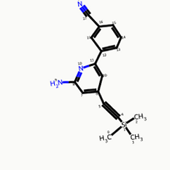 C[Si](C)(C)C#Cc1cc(N)nc(-c2cccc(C#N)c2)c1